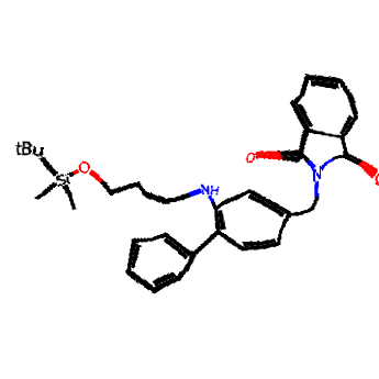 CC(C)(C)[Si](C)(C)OCCCNc1cc(CN2C(=O)c3ccccc3C2=O)ccc1-c1ccccc1